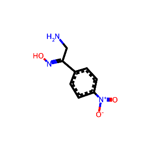 NCC(=NO)c1ccc([N+](=O)[O-])cc1